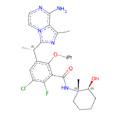 Cc1nc([C@@H](C)c2cc(Cl)c(F)c(C(=O)N[C@@]3(C)CCCC[C@@H]3O)c2OC(C)C)n2ccnc(N)c12